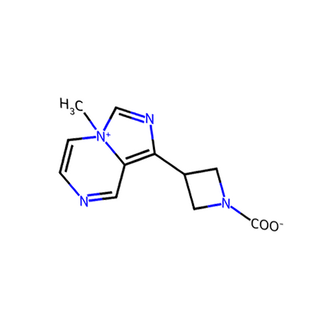 C[N+]12C=CN=CC1=C(C1CN(C(=O)[O-])C1)N=C2